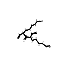 C=CC(CCCCCC)C(=O)C(C=C)CCCCCC